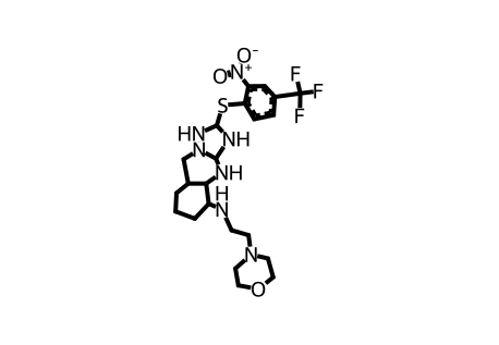 O=[N+]([O-])c1cc(C(F)(F)F)ccc1SC1NC2NC3C(CCCC3NCCN3CCOCC3)CN2N1